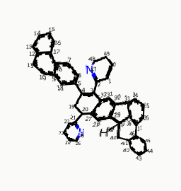 C1=CC(C2=C(c3ccc4c(ccc5ccccc54)c3)CC(c3ccccn3)c3cc4c(cc32)-c2cccc3c2[C@@H]4Cc2ccccc2-3)=NCC1